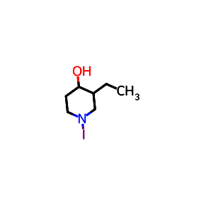 CCC1CN(I)CCC1O